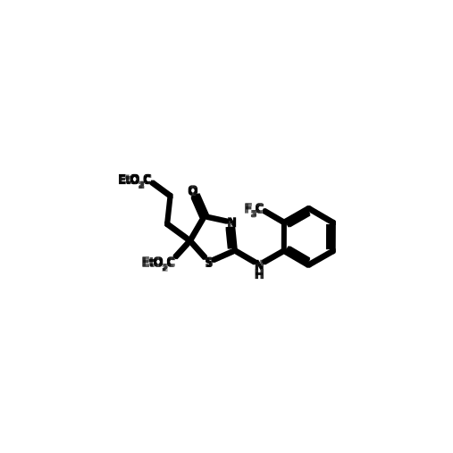 CCOC(=O)CCC1(C(=O)OCC)SC(Nc2ccccc2C(F)(F)F)=NC1=O